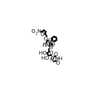 C[C@H](NP(=O)(OCC1OC(n2ncc(=O)[nH]c2=O)C(O)C1O)Oc1ccccc1)C(=O)OCc1ccc([N+](=O)[O-])o1